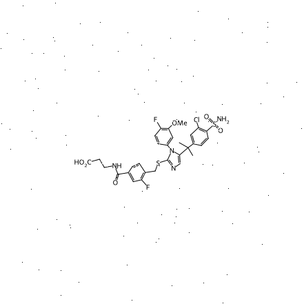 COc1cc(-n2c(C(C)(C)c3ccc(S(N)(=O)=O)c(Cl)c3)cnc2SCc2ccc(C(=O)NCCC(=O)O)cc2F)ccc1F